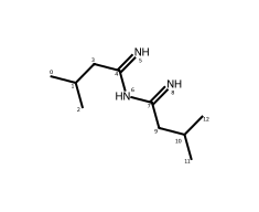 CC(C)CC(=N)NC(=N)CC(C)C